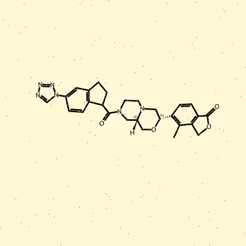 Cc1c([C@H]2CN3CCN(C(=O)C4CCc5cc(-n6cnnn6)ccc54)C[C@H]3CO2)ccc2c1COC2=O